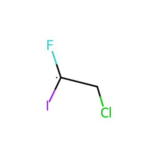 F[C](I)CCl